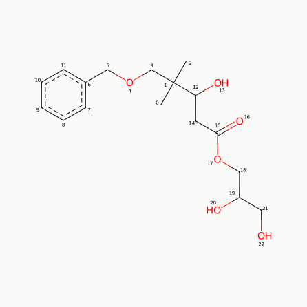 CC(C)(COCc1ccccc1)C(O)CC(=O)OCC(O)CO